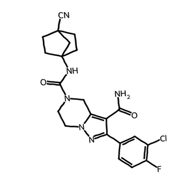 N#CC12CCC(NC(=O)N3CCn4nc(-c5ccc(F)c(Cl)c5)c(C(N)=O)c4C3)(CC1)C2